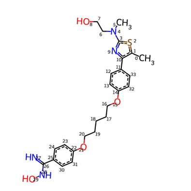 Cc1sc(N(C)CCO)nc1-c1ccc(OCCCCCOc2ccc(C(=N)NO)cc2)cc1